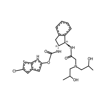 CC(O)CN(CC(=O)N[C@@H]1c2ccccc2C[C@H]1NC(=O)Oc1cc2cc(Cl)sc2[nH]1)CC(C)O